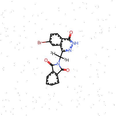 [2H]C([2H])(c1n[nH]c(=O)c2ccc(Br)cc12)N1C(=O)c2ccccc2C1=O